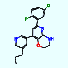 CCCc1cncc(-c2cc(-c3cc(Cl)ccc3F)nc3c2OCCN3)c1